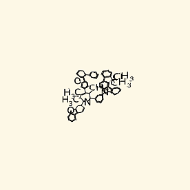 CCC1C(c2ccc3c(c2)oc2cccc(-c4ccccc4)c23)=C(C)C(C)C(C2C=Cc3c(oc4ccccc34)C2)=NC1c1cccc(-n2c3ccccc3c3c4c(ccc32)-c2ccccc2C4(C)C)c1